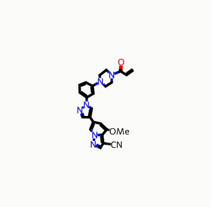 C=CC(=O)N1CCN(c2cccc(-n3cc(-c4cc(OC)c5c(C#N)cnn5c4)cn3)c2)CC1